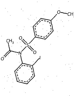 COc1ccc(S(=O)(=O)N(C(C)=O)c2ccccc2I)cc1